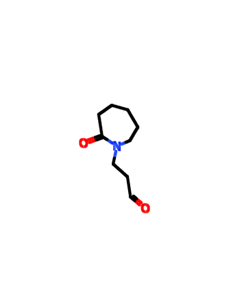 O=CCCN1CCCCCC1=O